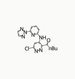 CCCCC(=O)c1nnc(Cl)cc1Nc1cccc(-n2nccn2)n1